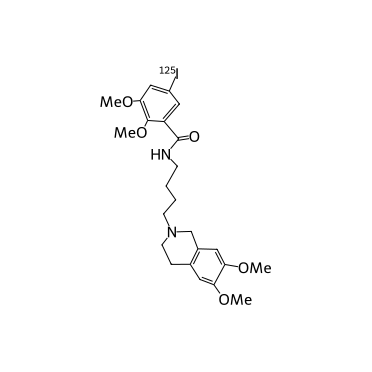 COc1cc2c(cc1OC)CN(CCCCNC(=O)c1cc([125I])cc(OC)c1OC)CC2